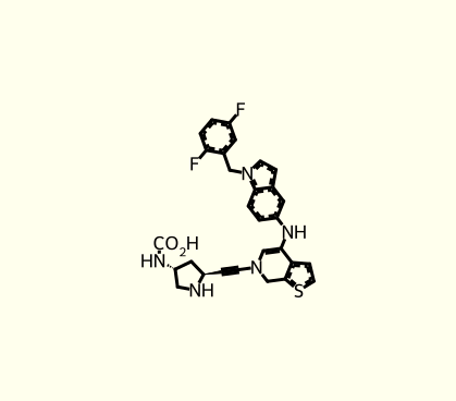 O=C(O)N[C@H]1CN[C@H](C#CN2C=C(Nc3ccc4c(ccn4Cc4cc(F)ccc4F)c3)c3ccsc3C2)C1